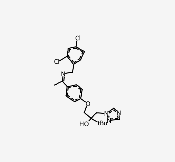 CC(=NCc1ccc(Cl)cc1Cl)c1ccc(OCC(O)(Cn2cncn2)C(C)(C)C)cc1